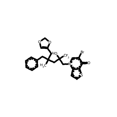 CC(CC1=COCO1)(Cc1ccccc1)CC(O)(Cn1cc(Br)c(=O)c2sccc21)C(F)(F)F